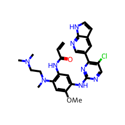 C=CC(=O)Nc1cc(Nc2ncc(Cl)c(-c3cnc4[nH]ccc4c3)n2)c(OC)cc1N(C)CCN(C)C